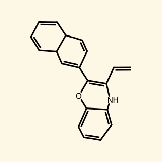 C=CC1=C(C2=CC3C=CC=CC3C=C2)Oc2ccccc2N1